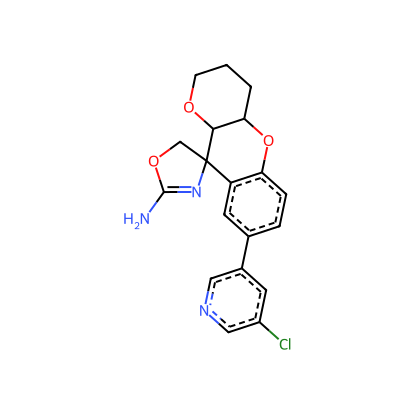 NC1=NC2(CO1)c1cc(-c3cncc(Cl)c3)ccc1OC1CCCOC12